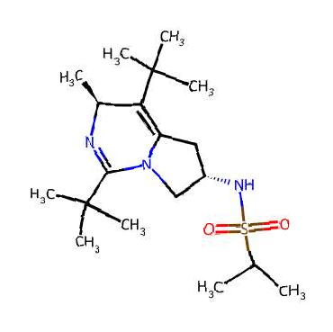 CC(C)S(=O)(=O)N[C@H]1CC2=C(C(C)(C)C)[C@H](C)N=C(C(C)(C)C)N2C1